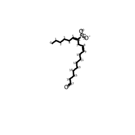 CCCCC/C=C(\C/C=C\CCCCCCC[C]=O)[N+](=O)[O-]